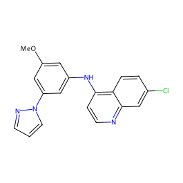 COc1cc(Nc2ccnc3cc(Cl)ccc23)cc(-n2cccn2)c1